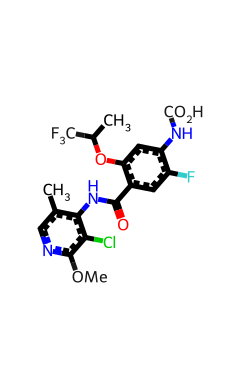 COc1ncc(C)c(NC(=O)c2cc(F)c(NC(=O)O)cc2OC(C)C(F)(F)F)c1Cl